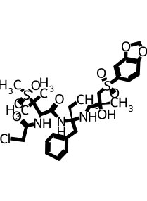 CC[C@](Cc1ccccc1)(NC[C@@](C)(O)CS(=O)(=O)c1ccc2c(c1)OCO2)NC(=O)[C@H](NC(=O)CCl)C(C)(C)S(C)(=O)=O